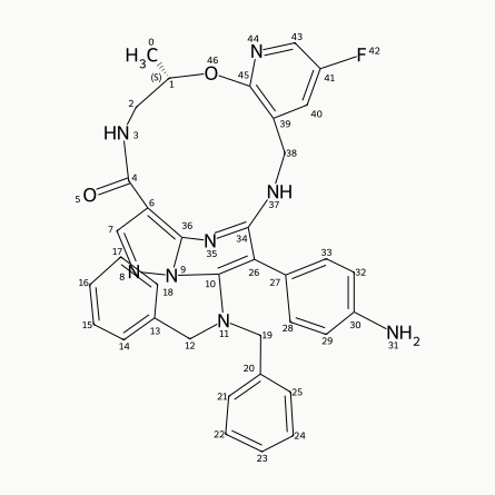 C[C@H]1CNC(=O)c2cnn3c(N(Cc4ccccc4)Cc4ccccc4)c(-c4ccc(N)cc4)c(nc23)NCc2cc(F)cnc2O1